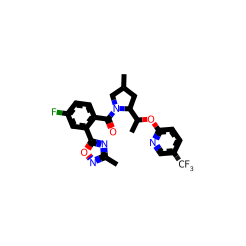 Cc1noc(-c2cc(F)ccc2C(=O)N2CC(C)CC2C(C)Oc2ccc(C(F)(F)F)cn2)n1